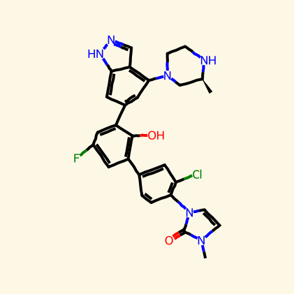 C[C@H]1CN(c2cc(-c3cc(F)cc(-c4ccc(-n5ccn(C)c5=O)c(Cl)c4)c3O)cc3[nH]ncc23)CCN1